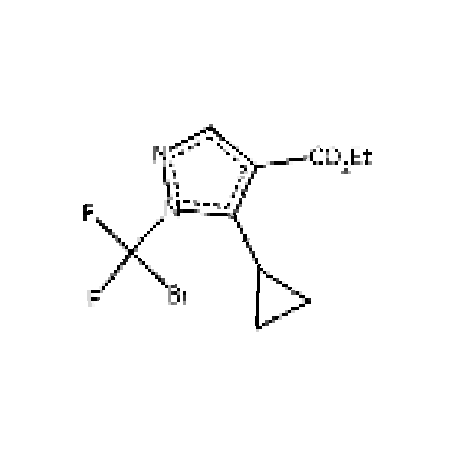 CCOC(=O)c1cnn(C(F)(F)Br)c1C1CC1